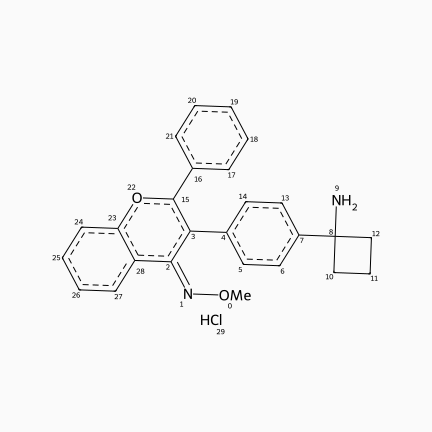 CON=c1c(-c2ccc(C3(N)CCC3)cc2)c(-c2ccccc2)oc2ccccc12.Cl